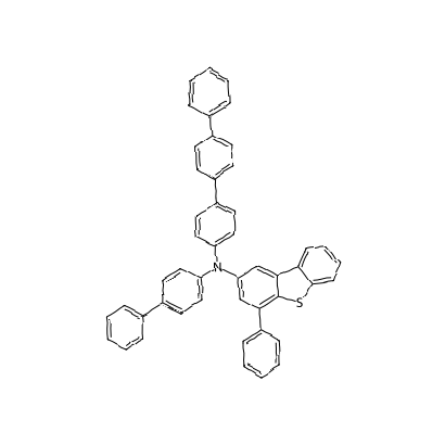 c1ccc(-c2ccc(-c3ccc(N(c4ccc(-c5ccccc5)cc4)c4cc(-c5ccccc5)c5sc6ccccc6c5c4)cc3)cc2)cc1